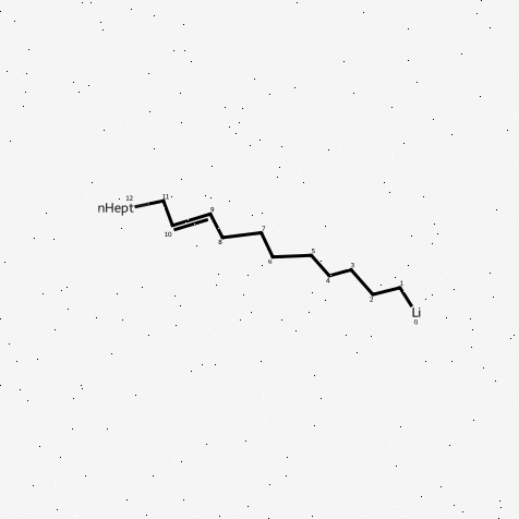 [Li][CH2]CCCCCCCC=CCCCCCCCC